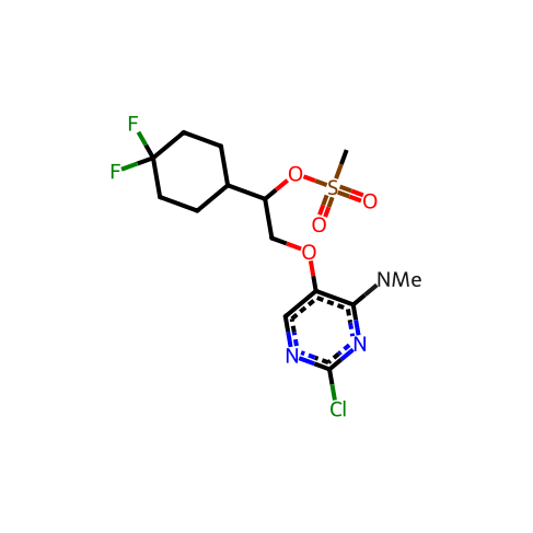 CNc1nc(Cl)ncc1OCC(OS(C)(=O)=O)C1CCC(F)(F)CC1